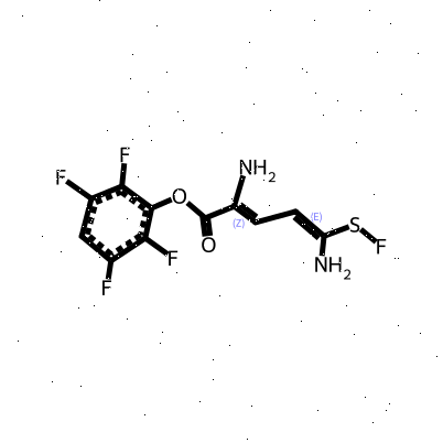 N/C(=C\C=C(/N)SF)C(=O)Oc1c(F)c(F)cc(F)c1F